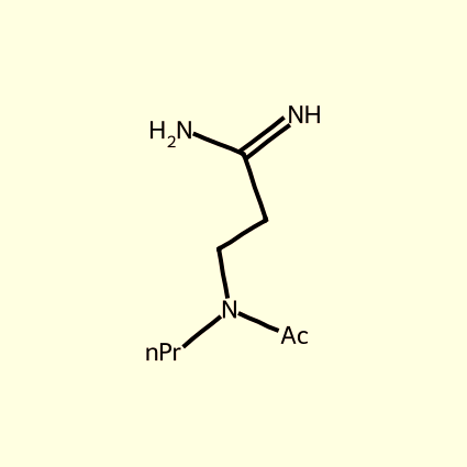 CCCN(CCC(=N)N)C(C)=O